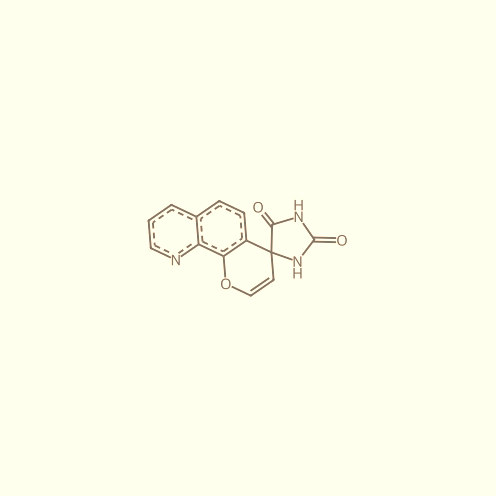 O=C1NC(=O)C2(C=COc3c2ccc2cccnc32)N1